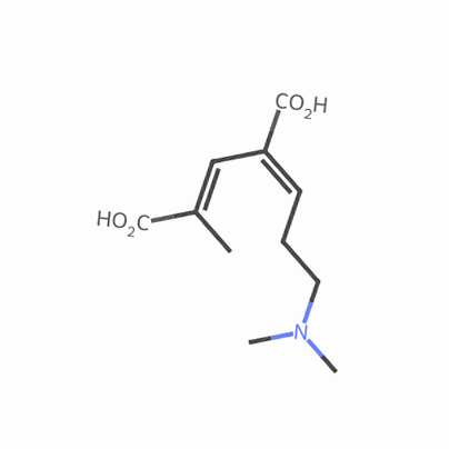 CC(=CC(=CCCN(C)C)C(=O)O)C(=O)O